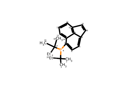 CCC(C)(C)P(c1ccc2c3c(cccc13)C=C2)C(C)(C)CC